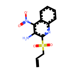 C=CCS(=O)(=O)c1nc2ccccc2c([N+](=O)[O-])c1N